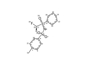 Cc1ccc(S(=O)(=O)N=S(=O)(c2ccccc2)[C@@H](C)F)cc1